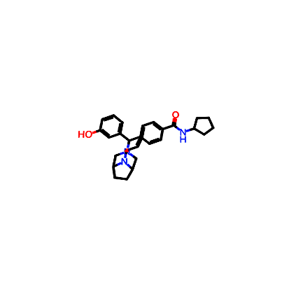 C=CCN1C2CCC1CN(C(c1ccc(C(=O)NC3CCCC3)cc1)c1cccc(O)c1)C2